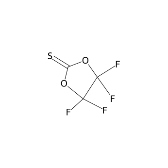 FC1(F)OC(=S)OC1(F)F